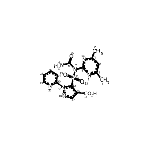 Cc1cc(C)nc(N(C(N)=O)S(=O)(=O)c2c(C(=O)O)cnn2-c2ccccn2)n1